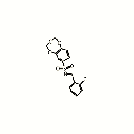 O=S(=O)(N=Cc1ccccc1Cl)c1ccc2c(c1)OCCCO2